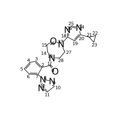 O=C(c1ccccc1-n1nccn1)N1CCON(c2cc(C3CC3)ncn2)CC1